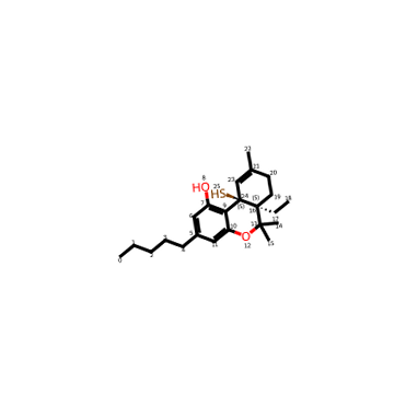 CCCCCc1cc(O)c2c(c1)OC(C)(C)[C@]1(CC)CCC(C)=C[C@@]21S